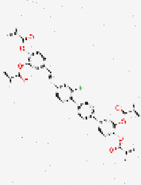 C=C(C)C(=O)Oc1ccc(/C=C/c2ccc(-c3ccc(-c4ccc(OC(=O)C(=C)C)c(OC(=O)C(=C)C)c4)cc3)c(F)c2)cc1OC(=O)C(=C)C